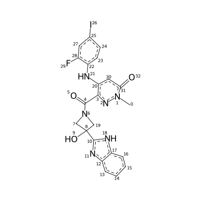 Cn1nc(C(=O)N2CC(O)(c3nc4ccccc4[nH]3)C2)c(Nc2ccc(I)cc2F)cc1=O